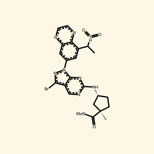 CNC(=O)[C@]1(C)CC[C@@H](Nc2ncc3c(Br)nn(-c4cc(C(C)[SH](=O)=O)c5nccnc5c4)c3n2)C1